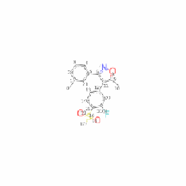 Cc1cccc(-c2noc(C)c2-c2ccc(S(C)(=O)=O)c(F)c2)c1